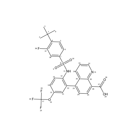 CC(C)(C)c1ccc(S(=O)(=O)Nc2ccc(OC(F)(F)F)cc2-c2ccc(C(=O)O)c3ncccc23)cc1F